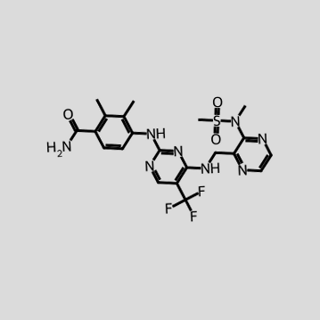 Cc1c(Nc2ncc(C(F)(F)F)c(NCc3nccnc3N(C)S(C)(=O)=O)n2)ccc(C(N)=O)c1C